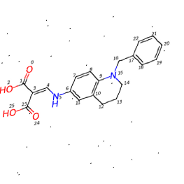 O=C(O)C(=CNc1ccc2c(c1)CCCN2Cc1ccccc1)C(=O)O